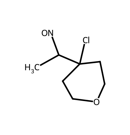 CC(N=O)C1(Cl)CCOCC1